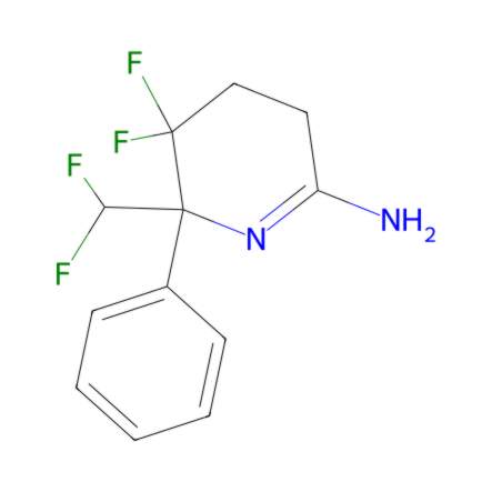 NC1=NC(c2ccccc2)(C(F)F)C(F)(F)CC1